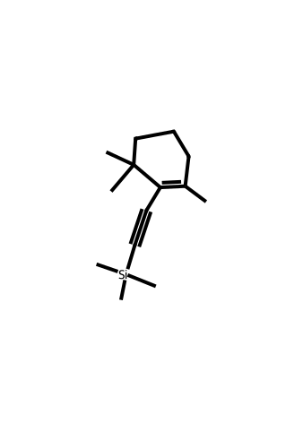 CC1=C(C#C[Si](C)(C)C)C(C)(C)CCC1